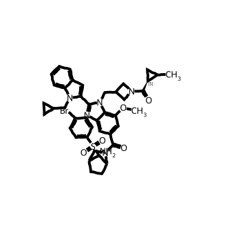 COc1cc(C(=O)N2CC3CCC2C3(N)S(=O)(=O)c2ccc(Br)cc2)cc2nc(-c3cc4ccccc4n3CC3CC3)n(CC3CN(C(=O)[C@H]4CC4C)C3)c12